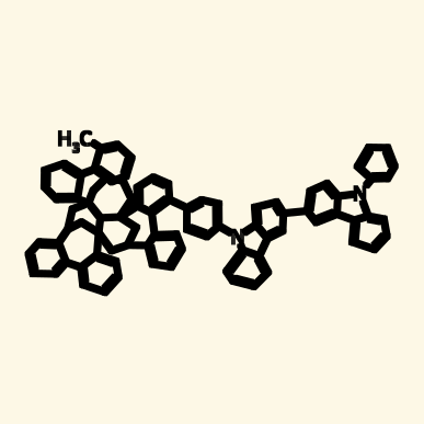 Cc1ccccc1-c1ccccc1C12CCCCC34CC(CC5(CC(C1)c1ccccc1-c1ccccc15)C23)c1ccccc1-c1c(-c2ccc(-n3c5ccccc5c5cc(-c6ccc7c(c6)c6ccccc6n7-c6ccccc6)ccc53)cc2)cccc14